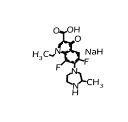 CCn1cc(C(=O)O)c(=O)c2cc(F)c(N3CCNC(C)C3)c(F)c21.[NaH]